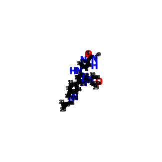 CNC(=O)c1ccc(Nc2cc(-c3ccc4cn(CC5CC5)nc4c3)nc(N3CCOCC3)n2)cn1